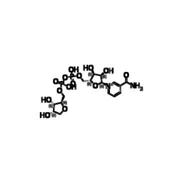 NC(=O)c1ccc[n+]([C@H]2O[C@H](COP(=O)(O)OP(=O)(O)OC[C@H]3OC[C@H](O)[C@@H]3O)[C@@H](O)[C@H]2O)c1